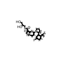 O=C(NCC(O)CO)c1cnn2ccc(N3CCCC3c3cc(F)ccc3C(F)(F)F)nc12